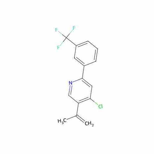 C=C(C)c1cnc(-c2cccc(C(F)(F)F)c2)cc1Cl